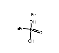 CCCP(=O)(O)O.[Fe]